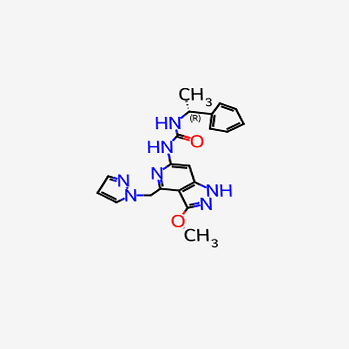 COc1n[nH]c2cc(NC(=O)N[C@H](C)c3ccccc3)nc(Cn3cccn3)c12